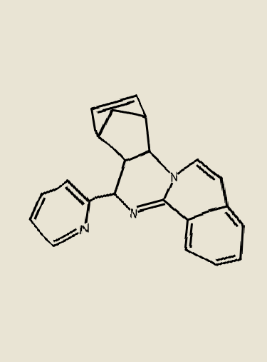 C1=CN2C(=NC(c3ccccn3)C3C4C=CC(C4)C32)c2ccccc21